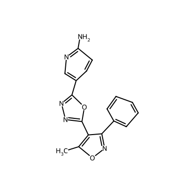 Cc1onc(-c2ccccc2)c1-c1nnc(-c2ccc(N)nc2)o1